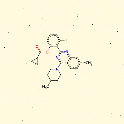 Cc1ccc2c(N3CCC(C)CC3)nc(-c3c(F)cccc3OC(=O)C3CC3)nc2c1